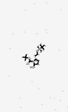 CC(C)(C)OC(=O)N1C(O)CC[C@H]1CCO[Si](C)(C)C(C)(C)C